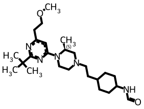 COCCc1cc(N2CCN(CCC3CCC(NC=O)CC3)C[C@@H]2C)nc(C(C)(C)C)n1